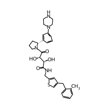 Cc1ccccc1Cc1csc(CNC(=O)[C@H](O)[C@@H](O)C(=O)N2CCC[C@@H]2c2cccc(N3CCNCC3)c2)c1